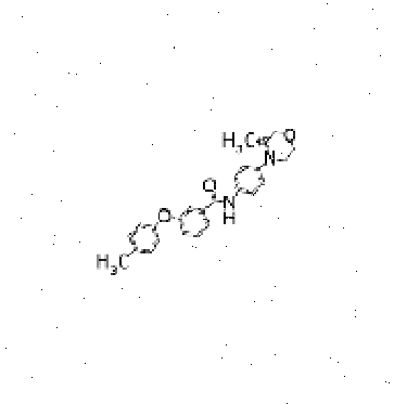 Cc1ccc(Oc2cccc(C(=O)Nc3ccc(N4CCOC[C@@H]4C)cc3)c2)cc1